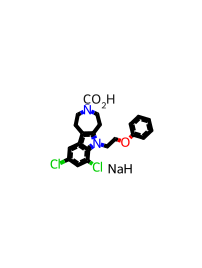 O=C(O)N1CCc2c(n(CCOc3ccccc3)c3c(Cl)cc(Cl)cc23)CC1.[NaH]